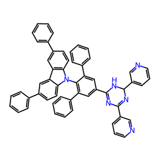 c1ccc(-c2ccc3c(c2)c2cc(-c4ccccc4)ccc2n3-c2c(-c3ccccc3)cc(C3=NC(c4cccnc4)=NC(c4cccnc4)N3)cc2-c2ccccc2)cc1